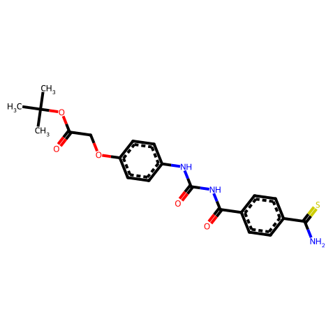 CC(C)(C)OC(=O)COc1ccc(NC(=O)NC(=O)c2ccc(C(N)=S)cc2)cc1